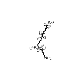 CC(C)(C)OC(=O)NCCCCC(N)C(=O)NCCCCC(C=O)NC(=O)C(N)CCCCN